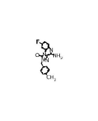 Cc1ccc(Cn2nc3c(N)nc4ccc(F)cc4n3c2=O)cc1